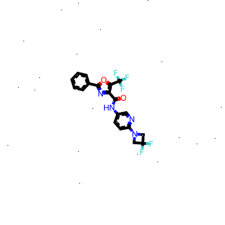 O=C(Nc1ccc(N2CC(F)(F)C2)nc1)c1nc(-c2ccccc2)oc1C(F)(F)F